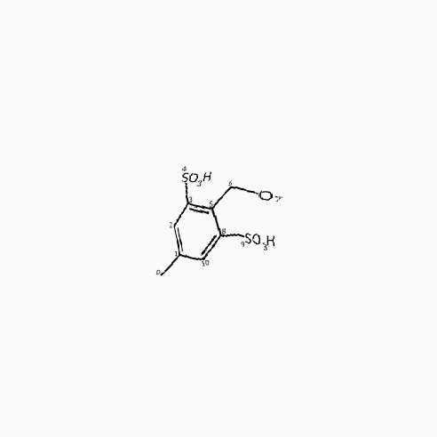 Cc1cc(S(=O)(=O)O)c(C[O])c(S(=O)(=O)O)c1